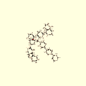 c1ccc(-c2ccc(-c3ccc(N(c4cccc(-c5ccc6sc7ccccc7c6c5)c4)c4cc(-c5cccc6ccccc56)ccc4-c4ccccc4)cc3)cc2)cc1